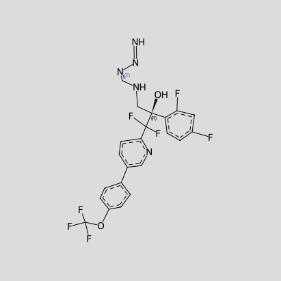 N=N/N=C\NC[C@](O)(c1ccc(F)cc1F)C(F)(F)c1ccc(-c2ccc(OC(F)(F)F)cc2)cn1